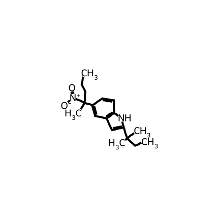 CCCC(C)(c1ccc2[nH]c(C(C)(C)CC)cc2c1)[N+](=O)[O-]